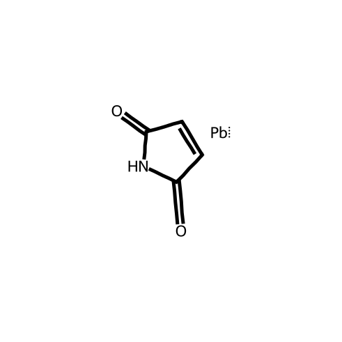 O=C1C=CC(=O)N1.[Pb]